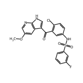 COc1cnc2[nH]cc(C(=O)c3cc(NS(=O)(=O)c4cccc(F)c4)ccc3Cl)c2c1